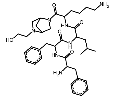 CC(C)CC(NC(=O)C(Cc1ccccc1)NC(=O)C(N)Cc1ccccc1)C(=O)NC(CCCCN)C(=O)N1CC2CC1CN2CCO